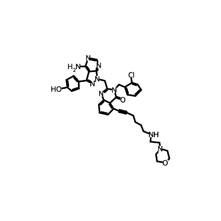 Nc1ncnc2c1c(-c1ccc(O)cc1)nn2Cc1nc2cccc(C#CCCCCNCCN3CCOCC3)c2c(=O)n1Cc1ccccc1Cl